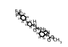 COC(=O)n1ncc2c(NC(=O)N[C@H]3CC[C@H](c4ccc(C(F)(F)F)cc4)C3)cccc21